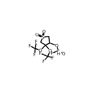 O=[PH](F)OC1CS(=O)(=O)CC1(OC(F)(F)F)OC(F)(F)F